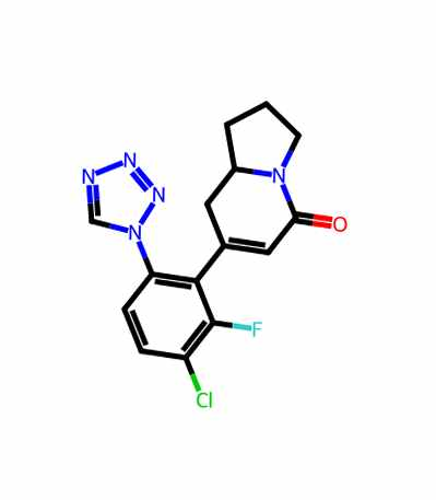 O=C1C=C(c2c(-n3cnnn3)ccc(Cl)c2F)CC2CCCN12